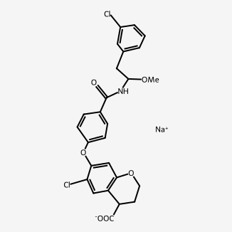 COC(Cc1cccc(Cl)c1)NC(=O)c1ccc(Oc2cc3c(cc2Cl)C(C(=O)[O-])CCO3)cc1.[Na+]